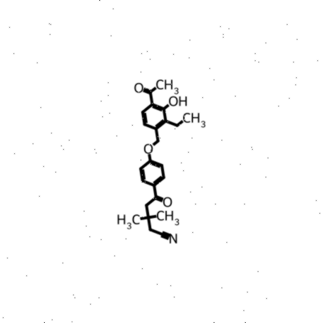 CCc1c(COc2ccc(C(=O)CC(C)(C)CC#N)cc2)ccc(C(C)=O)c1O